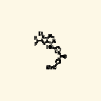 CCn1c(C(F)F)nc2c(N[C@H]3CCN(C(=O)N4CC(OC)C4)C3)ncnc21